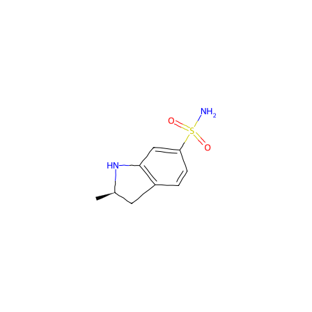 C[C@@H]1Cc2ccc(S(N)(=O)=O)cc2N1